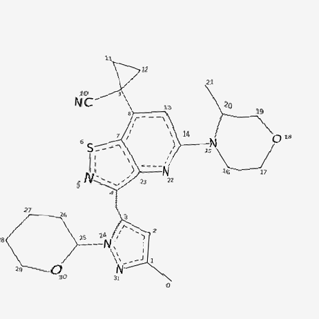 Cc1cc(-c2nsc3c(C4(C#N)CC4)cc(N4CCOCC4C)nc23)n(C2CCCCO2)n1